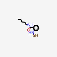 CCCCCNC(=O)c1ccccc1NS